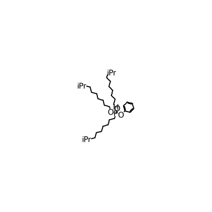 CC(C)CCCCCCCO[PH](CCCCCCCC(C)C)(OCCCCCCCC(C)C)Oc1ccccc1